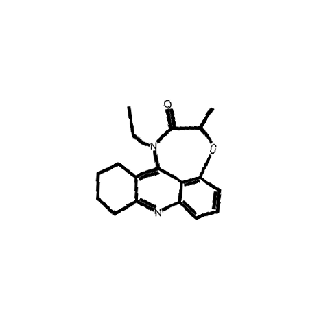 CCN1C(=O)C(C)Oc2cccc3nc4c(c1c23)CCCC4